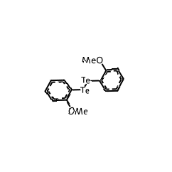 COc1ccccc1[Te][Te]c1ccccc1OC